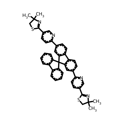 CC1(C)CSC(c2ccc(-c3ccc4c(c3)C3(c5ccccc5-c5ccccc53)c3cc(-c5ccc(C6=NC(C)(C)CS6)cn5)ccc3-4)nc2)=N1